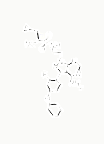 N#C/C(=C\C1CC1)S(=O)(=O)NCCn1nc(-c2ccc(Oc3ccccc3)cc2F)c2c(N)ncnc21